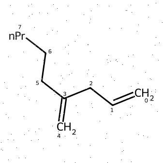 C=CCC(=C)CCCCC